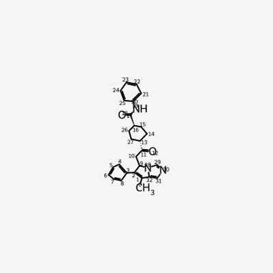 CC1=C(c2ccccc2)C(CC(=O)[C@H]2CC[C@H](C(=O)Nc3ccccc3)CC2)n2cncc21